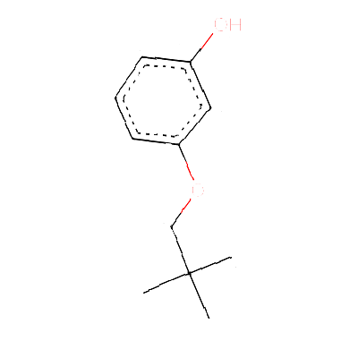 CC(C)(C)COc1cccc(O)c1